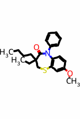 CCCCC1(CC)CSc2cc(OC)ccc2N(c2ccccc2)C1=O